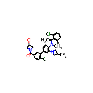 C=C(c1c(F)cccc1Cl)N(C)c1ccc(-c2cc(C(=O)N3CC(O)C3)ccc2Cl)cc1N1CC(C(F)(F)F)C1